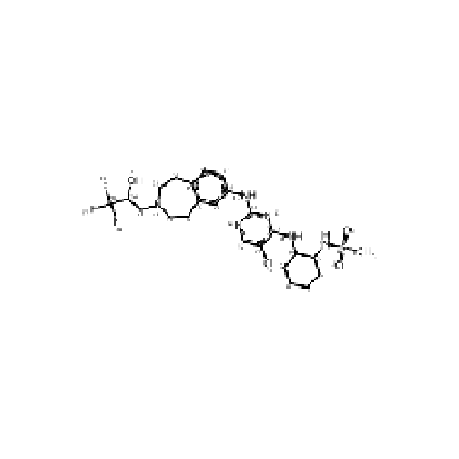 CS(=O)(=O)NC1CCCCC1Nc1nc(Nc2ccc3c(c2)CCN(CC(O)C(F)(F)F)CC3)ncc1Cl